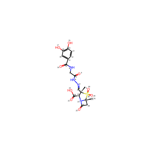 C[C@]1(/C=N/NC(=O)CNC(=O)c2ccc(O)c(O)c2)[C@H](C(=O)O)N2C(=O)C[C@H]2S1(=O)=O